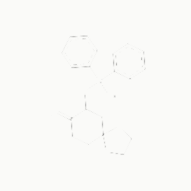 C=C1CCC2(CC1O[Si](c1ccccc1)(c1ccccc1)C(C)(C)C)OCCO2